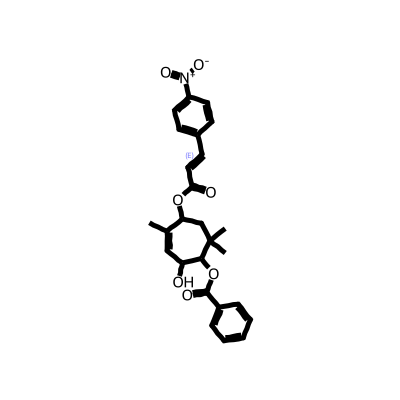 CC1=CC(O)C(OC(=O)c2ccccc2)C(C)(C)CC1OC(=O)/C=C/c1ccc([N+](=O)[O-])cc1